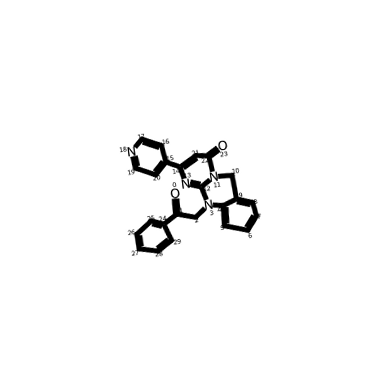 O=C(CN1c2ccccc2Cn2c1nc(-c1ccncc1)cc2=O)c1ccccc1